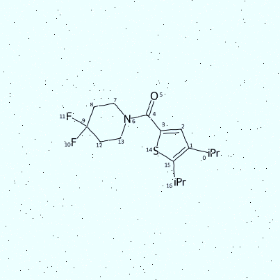 CC(C)c1cc(C(=O)N2CCC(F)(F)CC2)sc1C(C)C